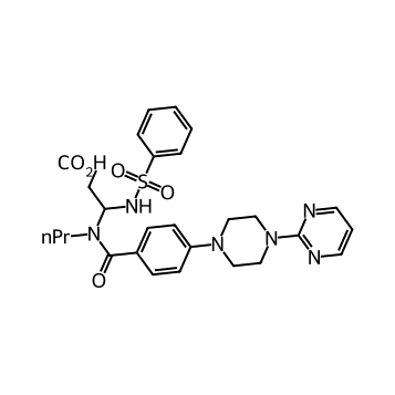 CCCN(C(=O)c1ccc(N2CCN(c3ncccn3)CC2)cc1)C(CC(=O)O)NS(=O)(=O)c1ccccc1